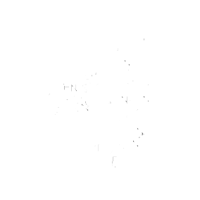 N#CC1(NS(=O)(=O)c2cc(N3CCOCC3)c3cnc(-c4nnc(C(F)F)s4)n3c2)CC1